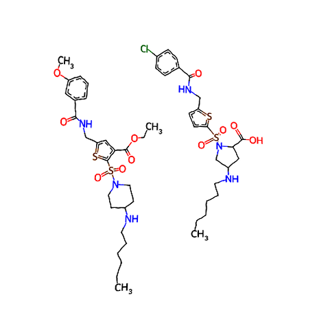 CCCCCCNC1CC(C(=O)O)N(S(=O)(=O)c2ccc(CNC(=O)c3ccc(Cl)cc3)s2)C1.CCCCCCNC1CCN(S(=O)(=O)c2sc(CNC(=O)c3cccc(OC)c3)cc2C(=O)OCC)CC1